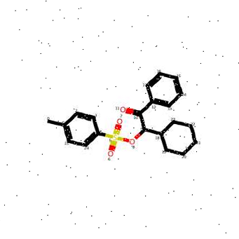 Cc1ccc(S(=O)(=O)OC(C(=O)c2ccccc2)C2CCCCC2)cc1